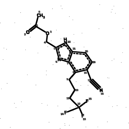 CC(=O)OCc1nc2c(CCCC(F)(F)F)c(C#N)ccc2[nH]1